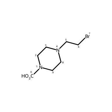 O=C(O)N1CCN(CCBr)CC1